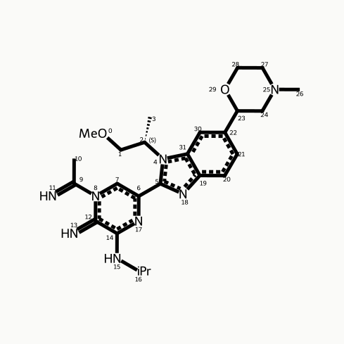 COC[C@H](C)n1c(-c2cn(C(C)=N)c(=N)c(NC(C)C)n2)nc2ccc(C3CN(C)CCO3)cc21